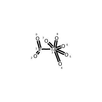 [O]=[Ir](=[O])[Ta](=[O])(=[O])(=[O])(=[O])=[O]